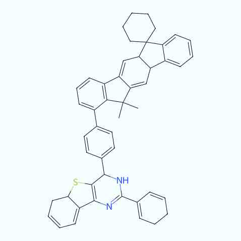 CC1(C)C2=CC3c4ccccc4C4(CCCCC4)C3C=C2c2cccc(-c3ccc(C4NC(C5=CCCC=C5)=NC5=C4SC4CC=CC=C54)cc3)c21